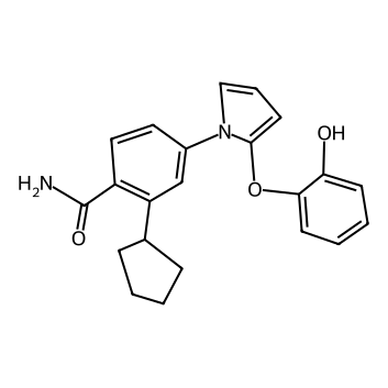 NC(=O)c1ccc(-n2cccc2Oc2ccccc2O)cc1C1CCCC1